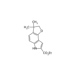 CCOC(=O)c1cc2c3c(ccc2[nH]1)C(C)(C)CO3